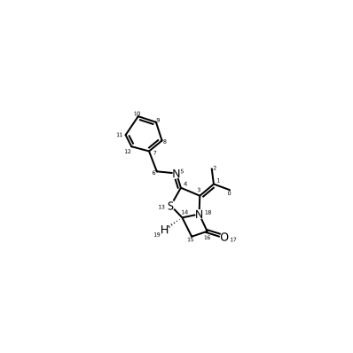 CC(C)=C1C(=NCc2ccccc2)S[C@@H]2CC(=O)N12